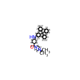 CC(C)N1CCN(C(=O)C2CCC(Nc3ccc(C(c4ccccc4)(c4ccccc4)c4ccccc4)cc3)CC2)CC1